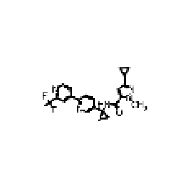 Cn1nc(C2CC2)cc1C(=O)NC1(c2ccc(-c3ccnc(C(F)(F)F)c3)nc2)CC1